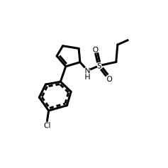 CCCS(=O)(=O)NC1CCC=C1c1ccc(Cl)cc1